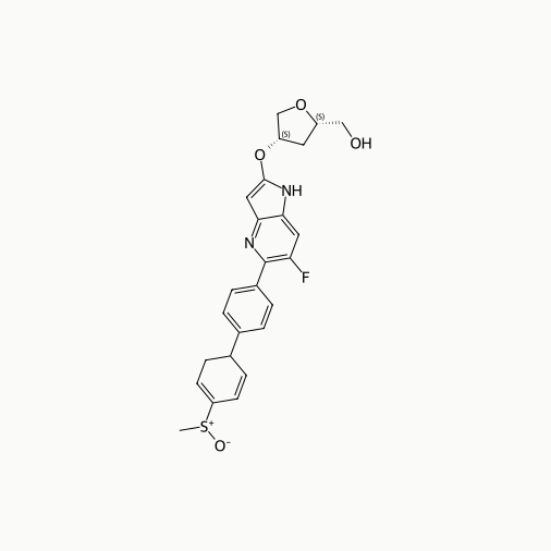 C[S+]([O-])C1=CCC(c2ccc(-c3nc4cc(O[C@@H]5CO[C@H](CO)C5)[nH]c4cc3F)cc2)C=C1